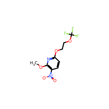 COc1nc(OCCOC(F)(F)F)ccc1[N+](=O)[O-]